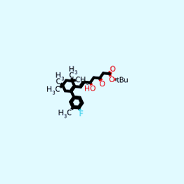 Cc1cc(C2=C(C=CC(O)CC(=O)CC(=O)OC(C)(C)C)C(C)(C)CC(C)(C)C2)ccc1F